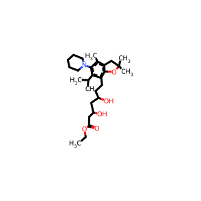 CCOC(=O)CC(O)CC(O)CCc1c2c(c(C)c(N3CCCCC3)c1C(C)C)CC(C)(C)O2